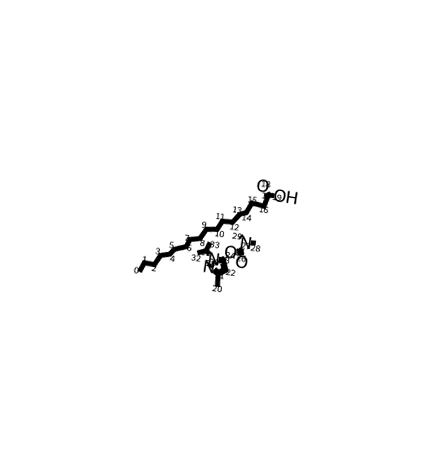 CCCCCCCCCCCCCCCCCC(=O)O.Cc1cc(OC(=O)N(C)C)n(C(C)C)n1